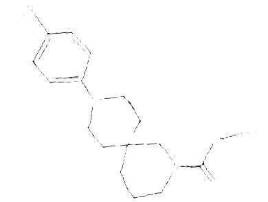 CC(C)(C)OC(=O)N1CCCC2(CCN(c3ccc([N+](=O)[O-])cc3)CC2)C1